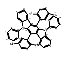 N#Cc1ccc(C#N)c(-c2c3c4ccccc4n(-c4ccccc4)c3c(-c3cc(C#N)ccc3C#N)c3c4ccccc4n(-c4ccccc4)c23)c1